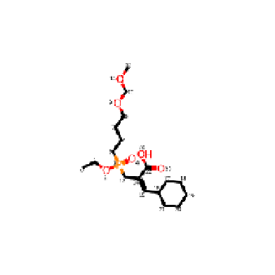 CCOP(=O)(CCCCOCOC)C/C(=C/C1CCCCC1)C(=O)O